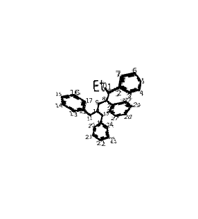 CCC(c1ccccc1)C(CC(Cc1ccccc1)Cc1ccccc1)c1ccccc1